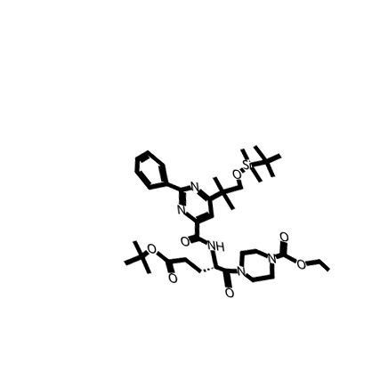 CCOC(=O)N1CCN(C(=O)[C@H](CCC(=O)OC(C)(C)C)NC(=O)c2cc(C(C)(C)CO[Si](C)(C)C(C)(C)C)nc(-c3ccccc3)n2)CC1